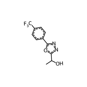 CC(O)c1nnc(-c2ccc(C(F)(F)F)cc2)o1